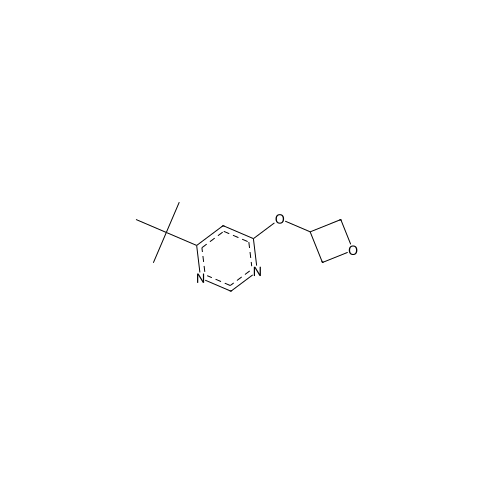 CC(C)(C)c1cc(OC2COC2)ncn1